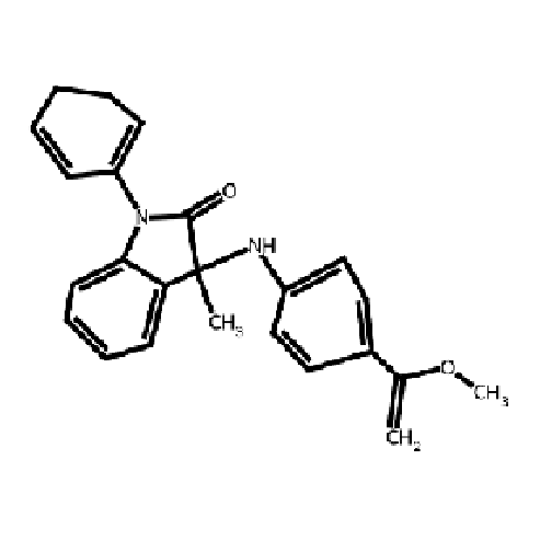 C=C(OC)c1ccc(NC2(C)C(=O)N(C3=CCCC=C3)c3ccccc32)cc1